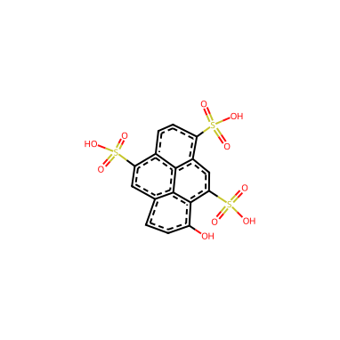 O=S(=O)(O)c1cc2ccc(O)c3c(S(=O)(=O)O)cc4c(S(=O)(=O)O)ccc1c4c23